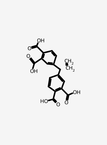 C=C.O=C(O)c1ccc(Cc2ccc(C(=O)O)c(C(=O)O)c2)cc1C(=O)O